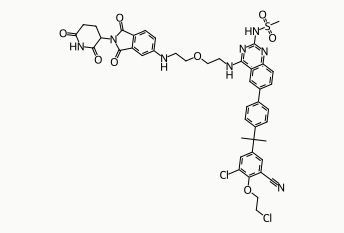 CC(C)(c1ccc(-c2ccc3nc(NS(C)(=O)=O)nc(NCCOCCNc4ccc5c(c4)C(=O)N(C4CCC(=O)NC4=O)C5=O)c3c2)cc1)c1cc(Cl)c(OCCCl)c(C#N)c1